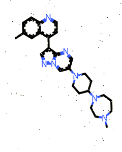 Cc1ccc2nccc(-c3cnn4cc(N5CCC(N6CCCN(C)CC6)CC5)cnc34)c2c1